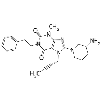 CC#CCn1c(N2CCCC(N)C2)nc2c1c(=O)n(CCc1ccccc1)c(=O)n2C